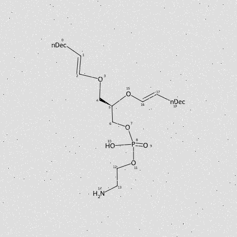 CCCCCCCCCCC=COC[C@H](COP(=O)(O)OCCN)OC=CCCCCCCCCCC